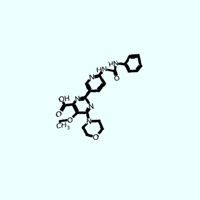 CCOc1c(C(=O)O)nc(-c2ccc(NC(=O)Nc3ccccc3)nc2)nc1N1CCOCC1